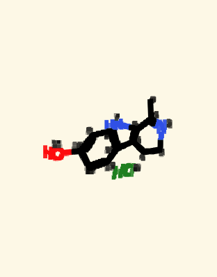 CC1=NCCc2c1[nH]c1cc(O)ccc21.Cl